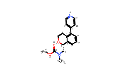 CN(C[C@@H]1OCCc2c(-c3ccncc3)cccc21)C(=O)OC(C)(C)C